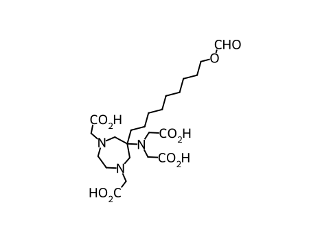 O=COCCCCCCCCCC1(N(CC(=O)O)CC(=O)O)CN(CC(=O)O)CCN(CC(=O)O)C1